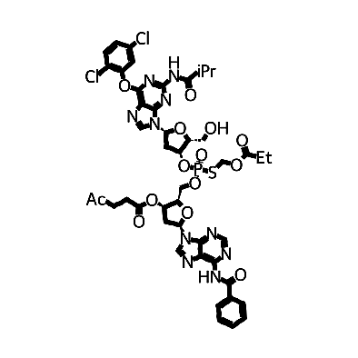 CCC(=O)OCSP(=O)(OC[C@H]1O[C@@H](n2cnc3c(NC(=O)c4ccccc4)ncnc32)C[C@H]1OC(=O)CCC(C)=O)O[C@@H]1C[C@H](n2cnc3c(Oc4cc(Cl)ccc4Cl)nc(NC(=O)C(C)C)nc32)O[C@@H]1CO